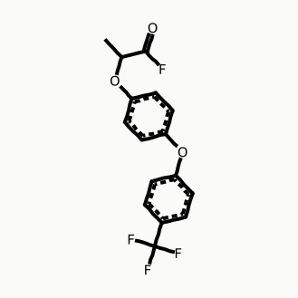 CC(Oc1ccc(Oc2ccc(C(F)(F)F)cc2)cc1)C(=O)F